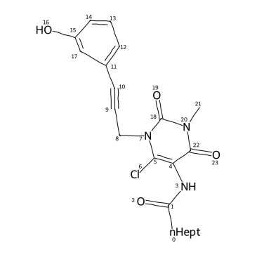 CCCCCCCC(=O)Nc1c(Cl)n(CC#Cc2cccc(O)c2)c(=O)n(C)c1=O